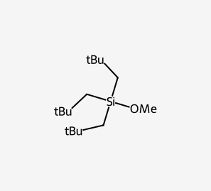 CO[Si](CC(C)(C)C)(CC(C)(C)C)CC(C)(C)C